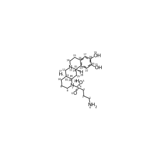 NCCCS(=O)(=O)N1CCC[C@H]2CN3CCc4cc(O)c(O)cc4[C@@H]3C[C@H]21